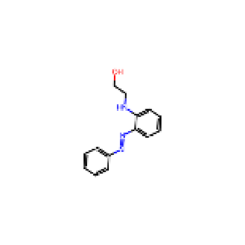 OCCNc1ccccc1/N=N/c1ccccc1